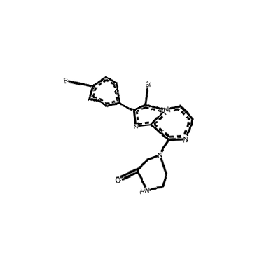 O=C1CN(c2nccn3c(Br)c(-c4ccc(F)cc4)nc23)CCN1